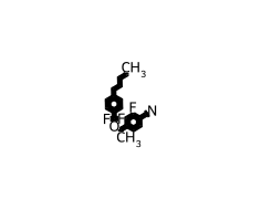 CCCCCc1ccc(C(F)(F)OC(C)c2ccc(C#N)c(F)c2)cc1